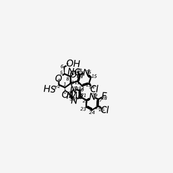 CO[C@@H]1[C@H](S)O[C@@H](CO)[C@@H](O)[C@@]1(c1cc(Cl)cnc1C#N)n1cc(-c2ccc(Cl)c(F)n2)nn1